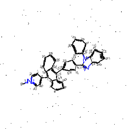 C[n+]1ccc(-c2c3ccccc3c(-c3ccc(-c4nc5ccccc5n4-c4ccccc4)cc3)c3ccccc23)cc1